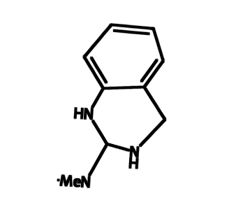 C[N]C1NCc2ccccc2N1